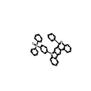 O=P(c1ccccc1)(c1ccccc1)c1ccc(-n2c3ccccc3c3cc4c(cc32)c(-c2ccccc2)nc2ccccc24)cc1